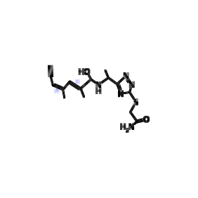 C#C/C=C(C)\C=C(/C)C(O)NC(C)C1=NC(SCC(N)=O)N=N1